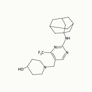 OC1CCN(Cc2cnc(NC34CC5CC(CC(C5)C3)C4)nc2C(F)(F)F)CC1